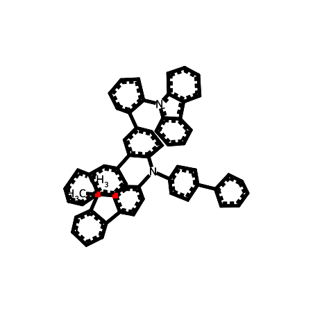 CC1(C)c2ccccc2-c2ccc(N(c3ccc(-c4ccccc4)cc3)c3ccc(-c4ccccc4-n4c5ccccc5c5ccccc54)cc3-c3ccc4ccccc4c3)cc21